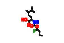 CCCC(F)OC(=O)NC(CCC(C)C(C)C)C(=O)O